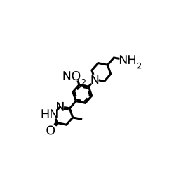 CC1CC(=O)NN=C1c1ccc(N2CCC(CN)CC2)c([N+](=O)[O-])c1